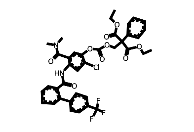 CCOC(=O)C(COC(=O)Oc1cc(C(=O)N(C)C)c(NC(=O)c2ccccc2-c2ccc(C(F)(F)F)cc2)cc1Cl)(C(=O)OCC)c1ccccc1